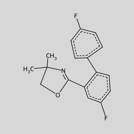 CC1(C)COC(c2cc(F)ccc2-c2ccc(F)cc2)=N1